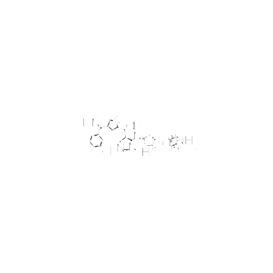 CN[C@@H](c1cccc(Cl)c1)c1csc(C(=O)c2cncnc2N[C@@H]2C[C@H](COS(N)(=O)=O)[C@@H](O)C2)c1